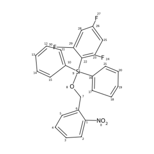 O=[N+]([O-])c1ccccc1CO[Si](c1ccccc1)(c1ccccc1)c1c(F)cc(F)cc1F